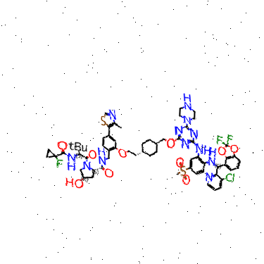 Cc1ncsc1-c1ccc(CNC(=O)[C@@H]2C[C@@H](O)CN2C(=O)[C@@H](NC(=O)C2(F)CC2)C(C)(C)C)c(OCC[C@H]2CC[C@H](COc3nc(Nc4cc(S(C)(=O)=O)ccc4N[C@@H](c4cccc5c4OC(F)(F)O5)c4ncccc4Cl)nc(N4CCNCC4)n3)CC2)c1